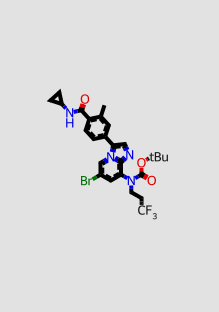 Cc1cc(-c2cnc3c(N(CCC(F)(F)F)C(=O)OC(C)(C)C)cc(Br)cn23)ccc1C(=O)NC1CC1